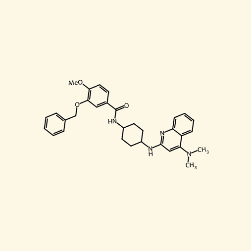 COc1ccc(C(=O)NC2CCC(Nc3cc(N(C)C)c4ccccc4n3)CC2)cc1OCc1ccccc1